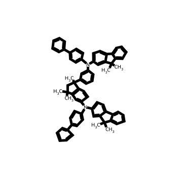 CC1(C)CC(C)(c2cccc(N(c3ccc(-c4ccccc4)cc3)c3ccc4c(c3)C(C)(C)c3ccccc3-4)c2)c2ccc(N(c3ccc(-c4ccccc4)cc3)c3ccc4c(c3)C(C)(C)c3ccccc3-4)cc21